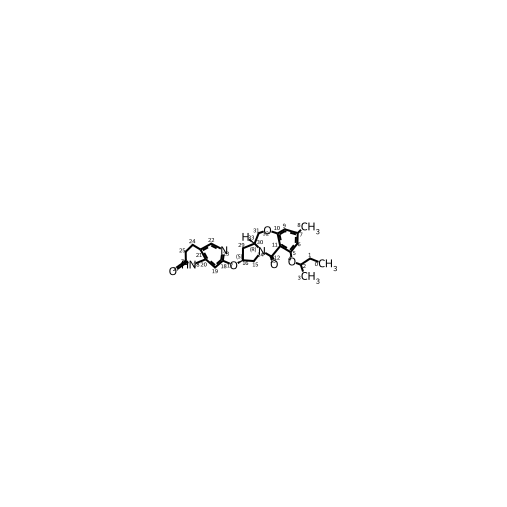 CCC(C)Oc1cc(C)cc2c1C(=O)N1C[C@@H](Oc3cc4c(cn3)CCC(=O)N4)C[C@@H]1CO2